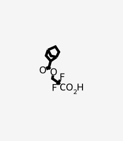 O=C(OCC(F)(F)C(=O)O)C1CC2CCC1C2